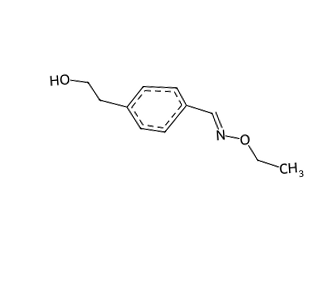 CCON=Cc1ccc(CCO)cc1